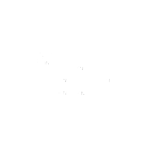 CS(=O)(=O)Nc1cccc(-c2nc(N)c(C#N)c(-c3ccc(C(F)(F)F)cc3)c2C#N)c1